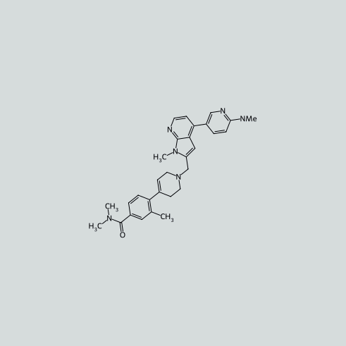 CNc1ccc(-c2ccnc3c2cc(CN2CC=C(c4ccc(C(=O)N(C)C)cc4C)CC2)n3C)cn1